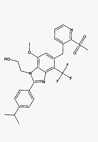 COc1cc(Cc2cccnc2S(C)(=O)=O)c(C(F)(F)F)c2nc(-c3ccc(C(C)C)cc3)n(CCO)c12